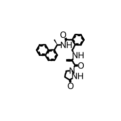 C=C(NCc1ccccc1C(=O)N[C@H](C)c1cccc2ccccc12)C(=O)N1CCC(=O)N1